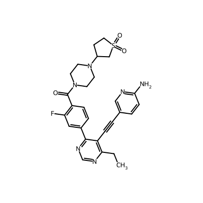 CCc1ncnc(-c2ccc(C(=O)N3CCN(C4CCS(=O)(=O)C4)CC3)c(F)c2)c1C#Cc1ccc(N)nc1